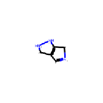 C1=NCC2=C1CNN2